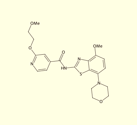 COCCOc1cc(C(=O)Nc2nc3c(OC)ccc(N4CCOCC4)c3s2)ccn1